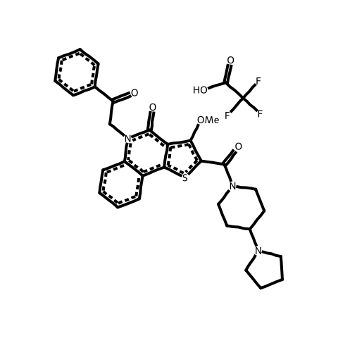 COc1c(C(=O)N2CCC(N3CCCC3)CC2)sc2c1c(=O)n(CC(=O)c1ccccc1)c1ccccc21.O=C(O)C(F)(F)F